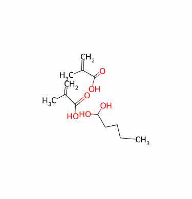 C=C(C)C(=O)O.C=C(C)C(=O)O.CCCCC(O)O